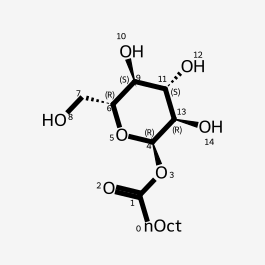 CCCCCCCCC(=O)O[C@H]1O[C@H](CO)[C@@H](O)[C@H](O)[C@H]1O